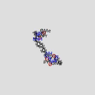 COC(=O)N[C@H](C(=O)N1C[C@@H](Oc2cnc(C3CCCC3)cn2)C[C@H]1c1ncc(-c2ccc(-c3ccc4cc(-c5cnc([C@@H]6CC7(CC7)CN6C(=O)[C@@H](NC(=O)OC)C(C)C)[nH]5)ccc4c3)cc2)[nH]1)C(C)C